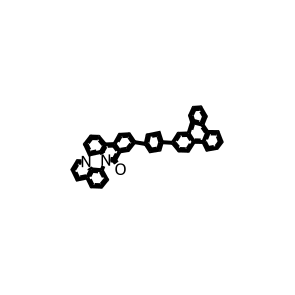 O=c1c2cc(-c3ccc(-c4ccc5c6ccccc6c6ccccc6c5c4)cc3)ccc2c2ccccc2n1-c1cccc2cccnc12